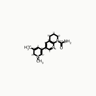 CC1=CC(c2cnc3c(c2)CCCN3C(N)=O)=CN(C)C1